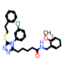 COC1=CCCC=C1CNC(=O)CCCCc1nnc(SCCc2ccccc2)n1-c1cccc(Cl)c1